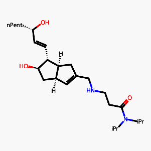 CCCCC[C@H](O)/C=C/[C@@H]1[C@H]2CC(CNCCC(=O)N(C(C)C)C(C)C)=C[C@H]2C[C@H]1O